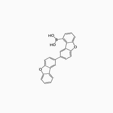 OB(O)c1cccc2oc3ccc(-c4ccc5oc6ccccc6c5c4)cc3c12